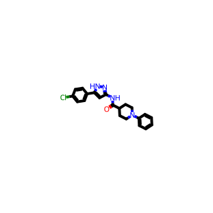 O=C(Nc1cc(-c2ccc(Cl)cc2)[nH]n1)C1CCN(c2ccccc2)CC1